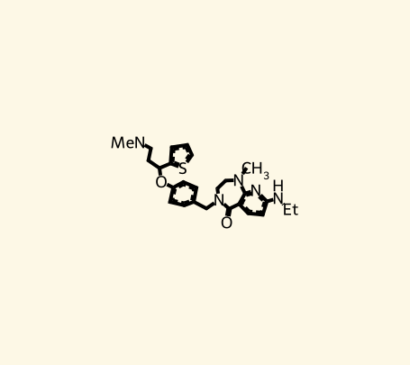 CCNc1ccc2c(n1)N(C)CCN(Cc1ccc(OC(CCNC)c3cccs3)cc1)C2=O